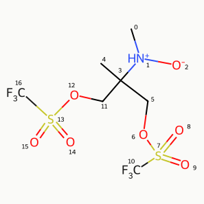 C[NH+]([O-])C(C)(COS(=O)(=O)C(F)(F)F)COS(=O)(=O)C(F)(F)F